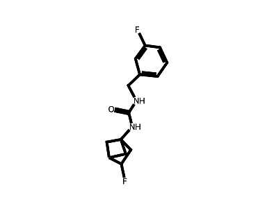 O=C(NCc1cccc(F)c1)NC12CC(F)C(C1)C2